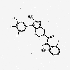 Cn1nc2c(c1-c1cc(F)c(F)c(F)c1)CCN(C(=O)c1n[nH]c3cccc(F)c13)C2